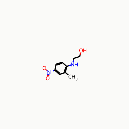 Cc1cc([N+](=O)[O-])ccc1NCCO